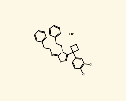 Br.Clc1ccc(C2(c3csc(=NCCc4ccccc4)n3CCc3ccccc3)CCC2)cc1Cl